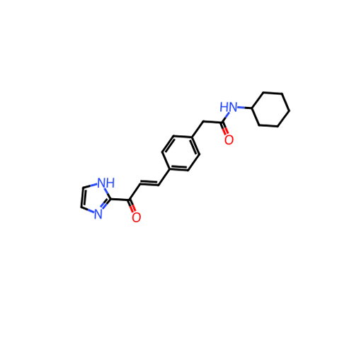 O=C(Cc1ccc(C=CC(=O)c2ncc[nH]2)cc1)NC1CCCCC1